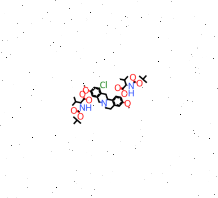 COc1cc2c(cc1OC(=O)[C@@H](NC(=O)OC(C)(C)C)C(C)C)C1Cc3c(Cl)cc(OC)c(OC(=O)[C@@H](NC(=O)OC(C)(C)C)C(C)C)c3CN1CC2